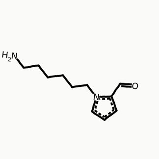 NCCCCCCn1cccc1C=O